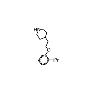 CC(C)c1ccccc1OCCC1CCNCC1